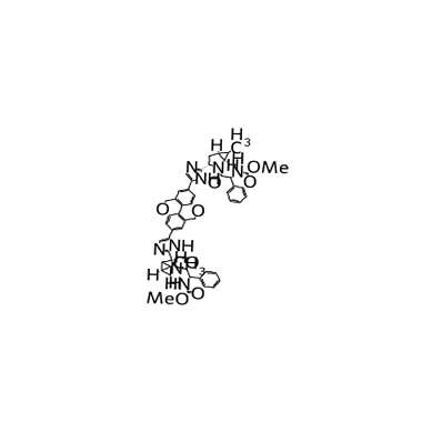 COC(=O)N[C@@H](C(=O)N1[C@H](c2ncc(-c3cc4c5c(c3)OCc3cc(-c6cnc([C@@H]7C[C@H]8[C@@H](C)[C@H]8N7C(=O)[C@H](NC(=O)OC)c7ccccc7)[nH]6)cc(c3-5)OC4)[nH]2)C2[C@@H]3[C@H]1[C@]23C)c1ccccc1